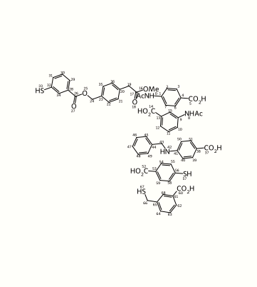 CC(=O)Nc1ccc(C(=O)O)cc1.CC(=O)Nc1cccc(C(=O)O)c1.COC(=O)Cc1ccc(COC(=O)c2cccc(S)c2)cc1.O=C(O)c1ccc(NCc2ccccc2)cc1.O=C(O)c1ccc(S)cc1.O=C(O)c1cccc(CS)c1